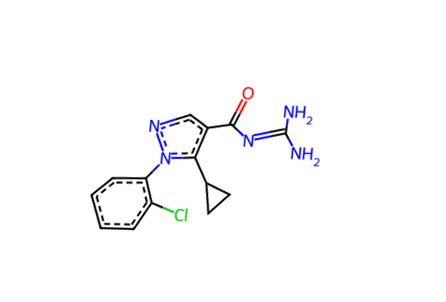 NC(N)=NC(=O)c1cnn(-c2ccccc2Cl)c1C1CC1